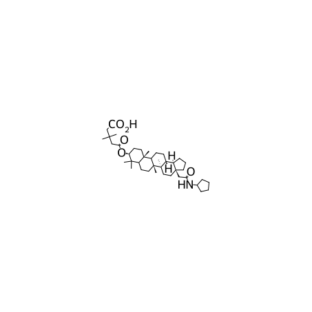 CC(C)(CC(=O)O)CC(=O)O[C@H]1CC[C@@]2(C)C(CC[C@]3(C)C2CC[C@@H]2[C@H]4CCC[C@]4(CC(=O)NC4CCCC4)CC[C@]23C)C1(C)C